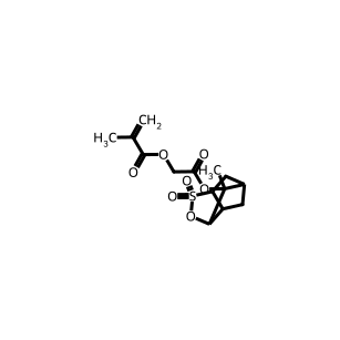 C=C(C)C(=O)OCC(=O)OC1(C)C2CC3C1OS(=O)(=O)C3C2